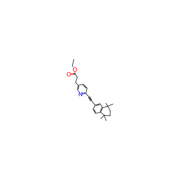 CCOC(=O)CCc1ccc(C#Cc2ccc3c(c2)C(C)(C)CCC3(C)C)nc1